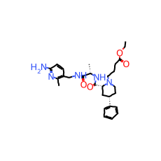 CCOC(=O)CCCN1CC[C@H](c2ccccc2)C[C@@H]1C(=O)N[C@@H](C)C(=O)NCc1ccc(N)nc1C